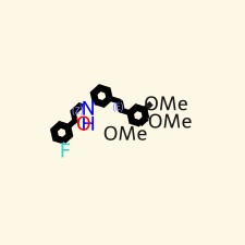 COc1cc(/C=C/c2cccc(N/C=C\C(=O)c3cccc(F)c3)c2)cc(OC)c1OC